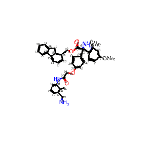 COc1ccc(C(N)(C(=O)OCc2cccc3c2Cc2ccccc2-3)c2ccc(OCC(=O)Nc3cccc(CN)c3C)cc2)c(OC)c1